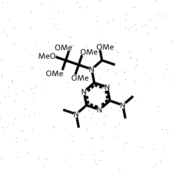 COC(C)N(c1nc(N(C)C)nc(N(C)C)n1)C(OC)(OC)C(OC)(OC)OC